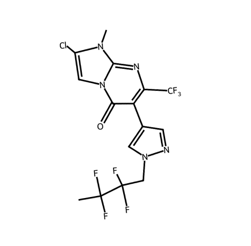 Cn1c(Cl)cn2c(=O)c(-c3cnn(CC(F)(F)C(C)(F)F)c3)c(C(F)(F)F)nc12